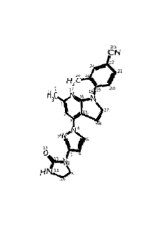 Cc1cc(-n2ccc(N3CCNC3=O)n2)c2c(n1)N(c1ccc(C#N)cc1C)CC2